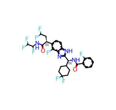 O=C(N[C@H](c1nc2c(F)c([C@H](CC(F)F)C(=O)NC(F)C(F)F)ccc2[nH]1)C1CCC(F)(F)CC1)c1ccccc1F